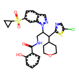 O=C(NCC(C(c1ncc(Cl)s1)C1CCOCC1)n1ncc2ccc(S(=O)(=O)C3CC3)cc21)c1ccccc1O